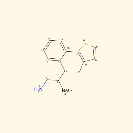 CNC(CN)Cc1ccccc1-c1sccc1C